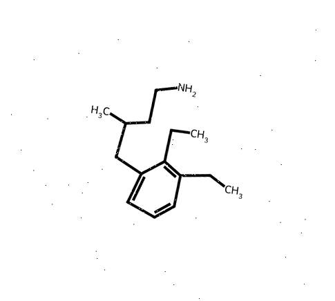 CCc1cccc(CC(C)CCN)c1CC